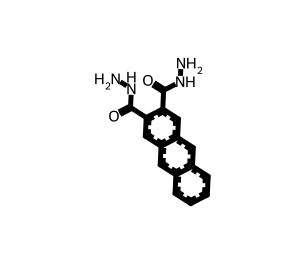 NNC(=O)c1cc2cc3ccccc3cc2cc1C(=O)NN